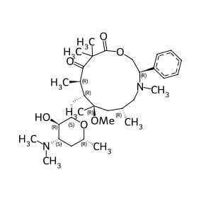 CO[C@]1(C)C[C@@H](C)CN(C)[C@H](c2ccccc2)COC(=O)C(C)(C)C(=O)[C@H](C)[C@H]1C[C@@H]1O[C@H](C)C[C@H](N(C)C)[C@H]1O